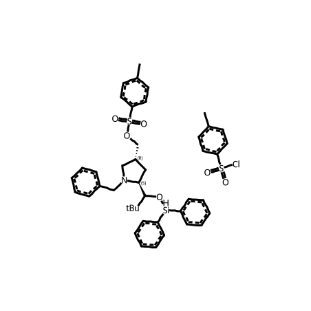 Cc1ccc(S(=O)(=O)Cl)cc1.Cc1ccc(S(=O)(=O)OC[C@@H]2C[C@@H](C(O[SiH](c3ccccc3)c3ccccc3)C(C)(C)C)N(Cc3ccccc3)C2)cc1